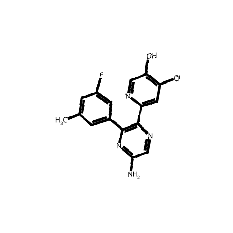 Cc1cc(F)cc(-c2nc(N)cnc2-c2cc(Cl)c(O)cn2)c1